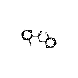 O=C(Cc1ccccc1F)c1ccccc1Cl